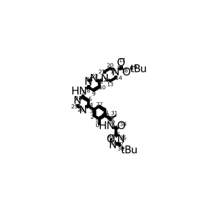 Cc1cc(-c2cc(Nc3ccc(N4CCN(C(=O)OC(C)(C)C)CC4)nn3)ncn2)ccc1[C@@H](C)NC(=O)c1nc(C(C)(C)C)no1